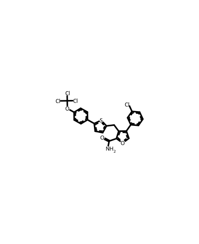 NC(=O)c1occ(-c2cccc(Cl)c2)c1Cc1ccc(-c2ccc(OC(Cl)(Cl)Cl)cc2)s1